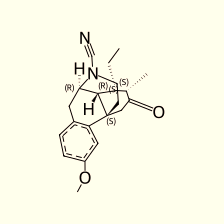 CC[C@H]1[C@H]2[C@H]3Cc4ccc(OC)cc4[C@@]2(CCN3C#N)CC(=O)[C@H]1C